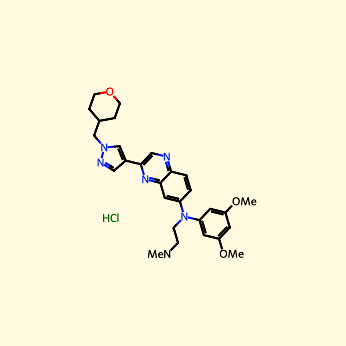 CNCCN(c1cc(OC)cc(OC)c1)c1ccc2ncc(-c3cnn(CC4CCOCC4)c3)nc2c1.Cl